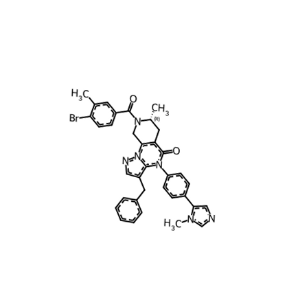 Cc1cc(C(=O)N2Cc3c(c(=O)n(-c4ccc(-c5cncn5C)cc4)c4c(Cc5ccccc5)cnn34)C[C@H]2C)ccc1Br